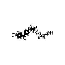 CN(CCO)/[N+]([O-])=N/OCOC(=O)C(C)(C)Oc1ccc(C(=O)c2ccc(Cl)cc2)cc1